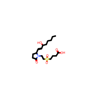 CCCCCC(O)C=CC1CCC(=O)N1CCS(=O)(=O)CCCC(=O)O